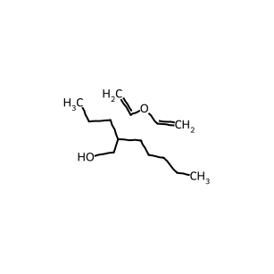 C=COC=C.CCCCCC(CO)CCC